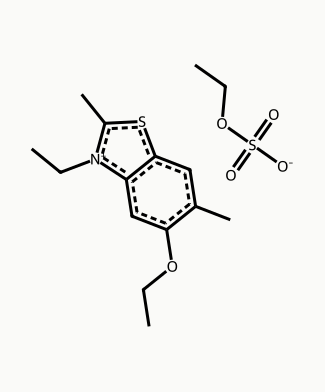 CCOS(=O)(=O)[O-].CCOc1cc2c(cc1C)sc(C)[n+]2CC